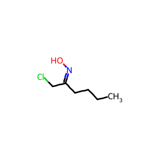 CCCCC(CCl)=NO